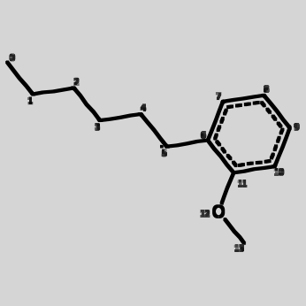 CCCCC[CH]c1ccccc1OC